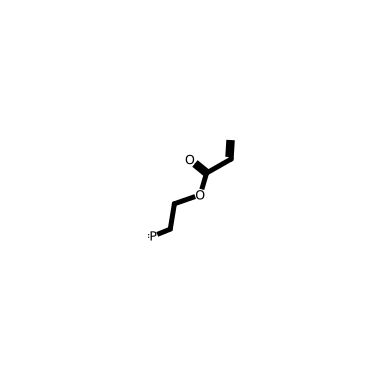 C=CC(=O)OCC[P]